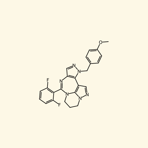 COc1ccc(Cn2ncc3c2-c2cnn4c2N(CCC4)C(c2c(F)cccc2F)=N3)cc1